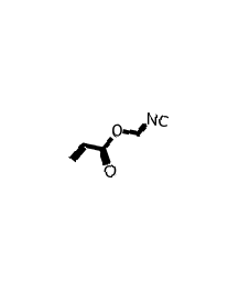 [C-]#[N+]COC(=O)C=C